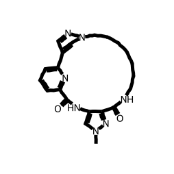 Cn1cc2c(n1)C(=O)NCCCCCCCn1cc(cn1)-c1cccc(n1)C(=O)N2